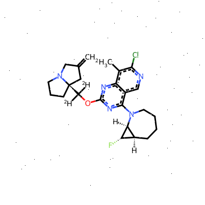 [2H]C([2H])(Oc1nc(N2CCCC[C@H]3[C@H](F)[C@H]32)c2cnc(Cl)c(C)c2n1)[C@@]12CCCN1CC(=C)C2